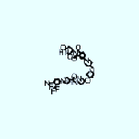 N#Cc1ccc(N2CCC(C(=O)Nc3ccc(OC4CCN(CC5CCN(c6ccc7c(c6)C(=O)N(C6CCC(=O)NC6=O)C7=O)CC5)CC4)cn3)CC2)cc1C(F)(F)F